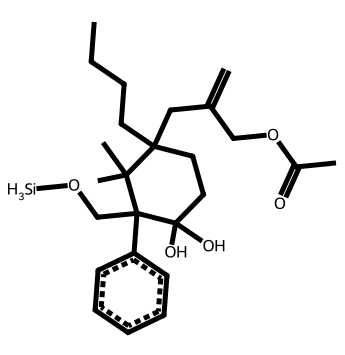 C=C(COC(C)=O)CC1(CCCC)CCC(O)(O)C(CO[SiH3])(c2ccccc2)C1(C)C